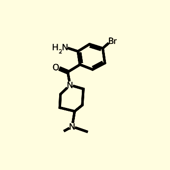 CN(C)C1CCN(C(=O)c2ccc(Br)cc2N)CC1